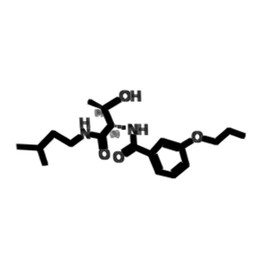 CCCOc1cccc(C(=O)N[C@H](C(=O)NCCC(C)C)[C@@H](C)O)c1